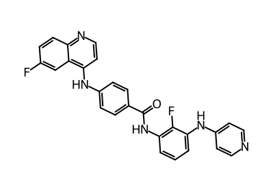 O=C(Nc1cccc(Nc2ccncc2)c1F)c1ccc(Nc2ccnc3ccc(F)cc23)cc1